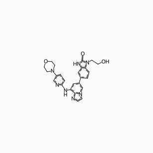 O=c1[nH]c2cc(-c3cc(Nc4ccc(N5CCOCC5)cn4)c4nccn4c3)ccc2n1CCO